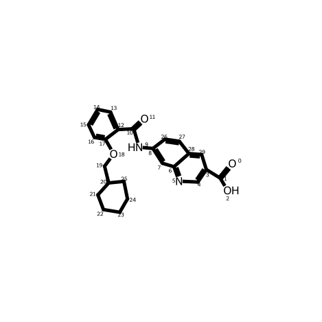 O=C(O)c1cnc2cc(NC(=O)c3ccccc3OCC3CCCCC3)ccc2c1